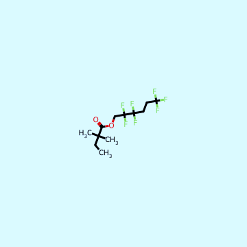 CCC(C)(C)C(=O)OCC(F)(F)C(F)(F)CCC(F)(F)F